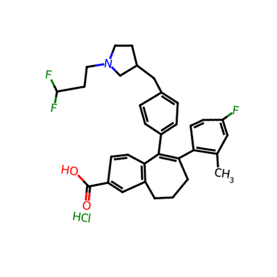 Cc1cc(F)ccc1C1=C(c2ccc(CC3CCN(CCC(F)F)C3)cc2)c2ccc(C(=O)O)cc2CCC1.Cl